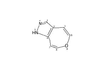 C1=Cc2cn[nH]c2C=CO1